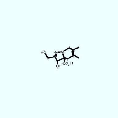 CCOC(=O)C12CC(C)=C(C)CN1N=C(CO)C2O